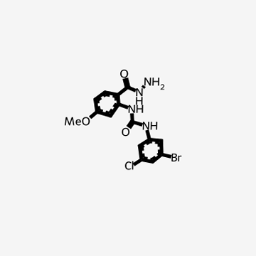 COc1ccc(C(=O)NN)c(NC(=O)Nc2cc(Cl)cc(Br)c2)c1